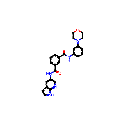 O=C(Nc1cccc(N2CCOCC2)c1)c1cccc(C(=O)Nc2cnc3[nH]ccc3c2)c1